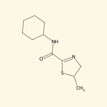 CC1CN=C(C(=O)NC2CCCCC2)S1